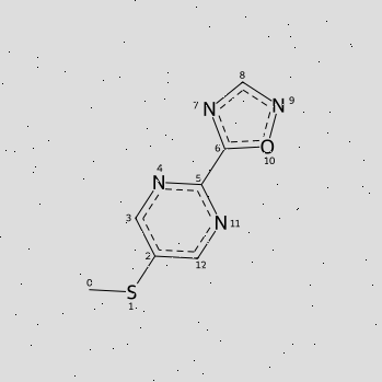 CSc1cnc(-c2ncno2)nc1